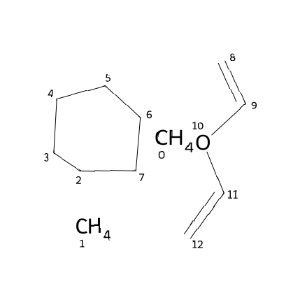 C.C.C1CCCCC1.C=COC=C